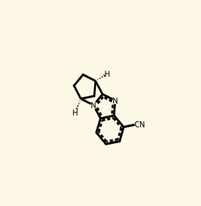 N#Cc1cccc2c1nc1n2[C@H]2CC[C@@H]1C2